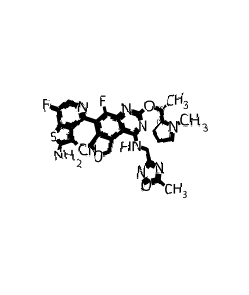 Cc1nc(CNc2nc(O[C@@H](C)[C@@H]3CCCN3C)nc3c(F)c(-c4ncc(F)c5sc(N)c(C#N)c45)c4c(c23)COC4)no1